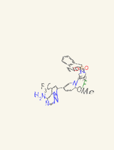 COC1C=CC(c2cc(C(F)(F)F)c3c(N)ncnn23)=CN1[C@@H]1CN(S(=O)(=O)Cc2ccccc2[N+](=O)[O-])C[C@@H]1F